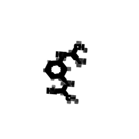 CC(=N)Nc1cccc(NC(C)=N)c1